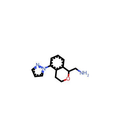 NCC1OCCc2c1cccc2-n1cccn1